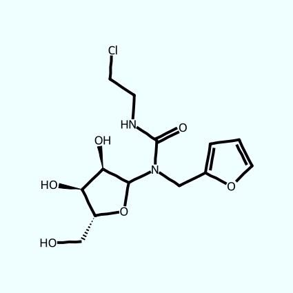 O=C(NCCCl)N(Cc1ccco1)C1O[C@H](CO)[C@@H](O)[C@H]1O